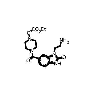 CCOC(=O)ON1CCN(C(=O)c2ccc3[nH]c(=O)n(CCN)c3c2)CC1